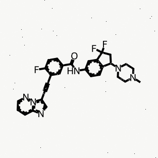 CN1CCN(C2CC(F)(F)c3cc(NC(=O)c4ccc(F)c(C#Cc5cnc6cccnn56)c4)ccc32)CC1